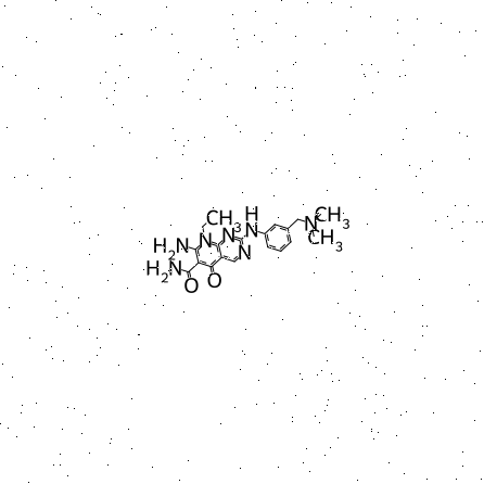 CCn1c(N)c(C(N)=O)c(=O)c2cnc(Nc3cccc(CN(C)C)c3)nc21